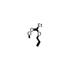 C=CCOC(=O)CC.CCl